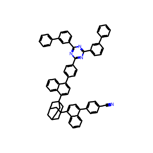 N#Cc1ccc(-c2ccc(C34CC5CC(C3)CC(c3ccc(-c6ccc(-c7nc(-c8cccc(-c9ccccc9)c8)nc(-c8cccc(-c9ccccc9)c8)n7)cc6)c6ccccc36)(C5)C4)c3ccccc23)cc1